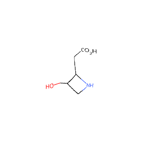 O=C(O)CC1NCC1O